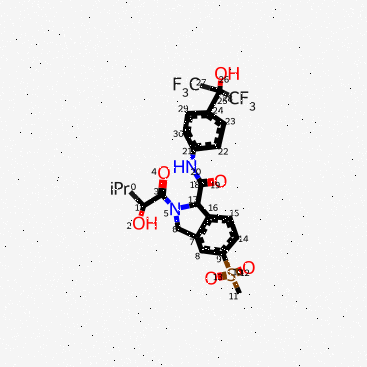 CC(C)C(O)C(=O)N1Cc2cc(S(C)(=O)=O)ccc2C1C(=O)Nc1ccc(C(O)(C(F)(F)F)C(F)(F)F)cc1